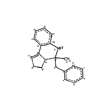 CC1(Cc2ccccn2)Nc2ccccc2C2=NCCN21